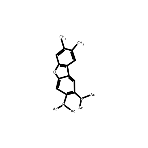 CC(=O)N(C(C)=O)c1cc2oc3cc(C)c(C)cc3c2cc1N(C(C)=O)C(C)=O